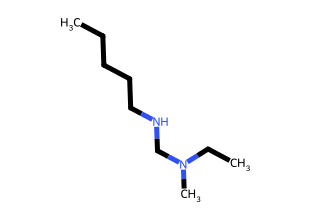 CCCCCNCN(C)CC